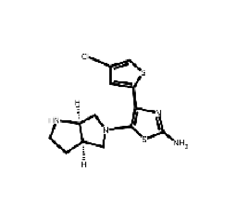 Nc1nc(-c2cc(Cl)cs2)c(N2C[C@H]3CCN[C@H]3C2)s1